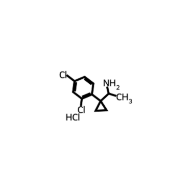 CC(N)C1(c2ccc(Cl)cc2Cl)CC1.Cl